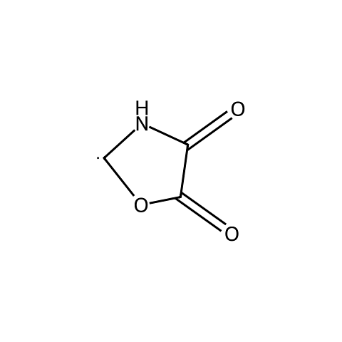 O=C1N[CH]OC1=O